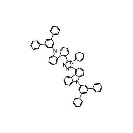 C1=CC(n2c(-c3cccc4c3c3ccccc3n4-c3cc(-c4ccccc4)cc(-c4ccccc4)c3)nnc2-c2cccc3c2c2ccccc2n3-c2cc(-c3ccccc3)cc(-c3ccccc3)c2)=CCC1